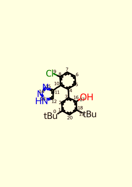 CC(C)(C)c1cc(-c2cccc(Cl)c2-c2c[nH]nn2)c(O)c(C(C)(C)C)c1